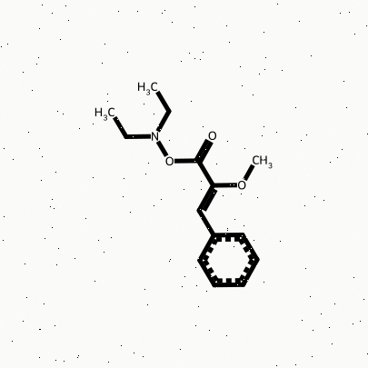 CCN(CC)OC(=O)C(=Cc1ccccc1)OC